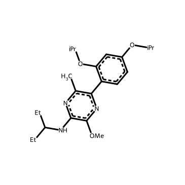 CCC(CC)Nc1nc(C)c(-c2ccc(OC(C)C)cc2OC(C)C)nc1OC